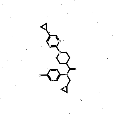 O=C(C1CCN(c2ncc(C3CC3)cn2)CC1)N(CC1CC1)c1ccc(Cl)cc1